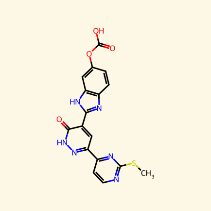 CSc1nccc(-c2cc(-c3nc4ccc(OC(=O)O)cc4[nH]3)c(=O)[nH]n2)n1